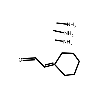 CN.CN.CN.O=CC=C1CCCCC1